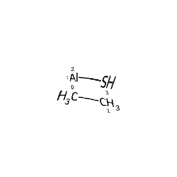 CC.[Al][SH]